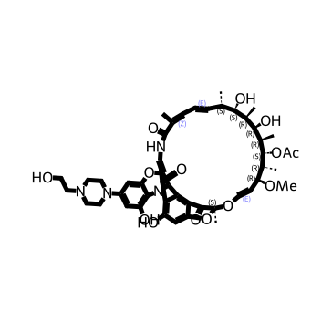 CO[C@H]1/C=C/O[C@@]2(C)Oc3cc(O)c4c(=O)c(c5oc6cc(N7CCN(CCO)CC7)cc(O)c6nc-5c4c3C2=O)NC(=O)/C(C)=C\C=C\[C@H](C)[C@H](O)[C@@H](C)[C@@H](O)[C@@H](C)[C@H](OC(C)=O)[C@@H]1C